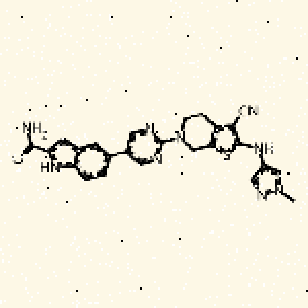 Cn1cc(Nc2sc3c(c2C#N)CCN(c2ncc(-c4ccc5[nH]c(C(N)=O)cc5c4)cn2)C3)cn1